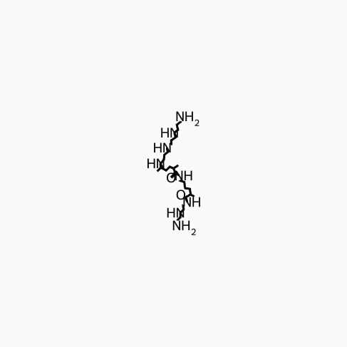 CC(CCC(C)C(=O)NCCCCC(C)C(=O)NCCNCCN)NCCCNCCCNCCCN